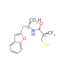 O=C(O)[C@H](Cc1cc2ccccc2o1)NC(=O)[C@H](CS)C(F)(F)F